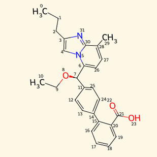 CCCc1cn2c([C@H](OCC)c3ccc(-c4ccccc4C(=O)O)cc3)ccc(C)c2n1